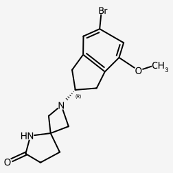 COc1cc(Br)cc2c1C[C@H](N1CC3(CCC(=O)N3)C1)C2